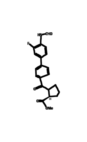 COC(=O)[C@@H]1CCCC1C(=O)c1ccc(-c2ccc(NC=O)c(F)c2)cc1